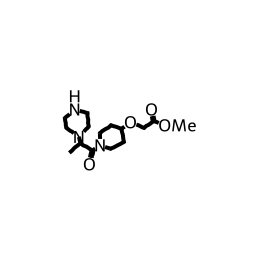 COC(=O)COC1CCN(C(=O)C(C)N2CCNCC2)CC1